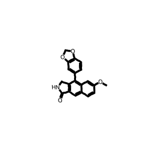 COc1ccc2cc3c(c(-c4ccc5c(c4)OCO5)c2c1)CNC3=O